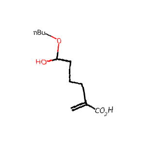 C=C(CCCC(O)OCCCC)C(=O)O